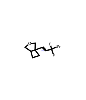 CC(C)C(F)(F)/C=C/C12CCC1COC2